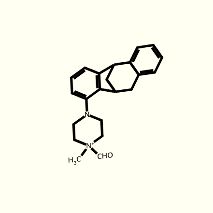 C[N+]1(C=O)CCN(c2cccc3c2C2Cc4ccccc4C3C2)CC1